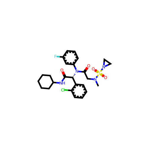 CN(CC(=O)N(c1cccc(F)c1)[C@@H](C(=O)NC1CCCCC1)c1ccccc1Cl)S(=O)(=O)N1CC1